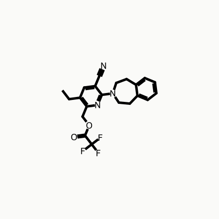 CCc1cc(C#N)c(N2CCc3ccccc3CC2)nc1COC(=O)C(F)(F)F